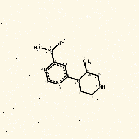 CC(C)N(C)c1cc(N2CCNC[C@@H]2C)ncn1